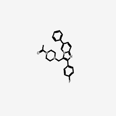 CC(=O)N1CCN(Cc2c(-c3ccc(F)cc3)nc3ccc(-c4ccccc4)cn23)CC1